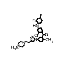 Cc1ccc(-n2cc(CCN3CCN(C)CC3)nn2)cc1C(=O)c1ccc(Nc2ccc(F)cc2F)cc1Cl